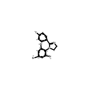 Fc1ccc(C2=NCCN2c2c(Br)cc(Br)cc2Br)cc1